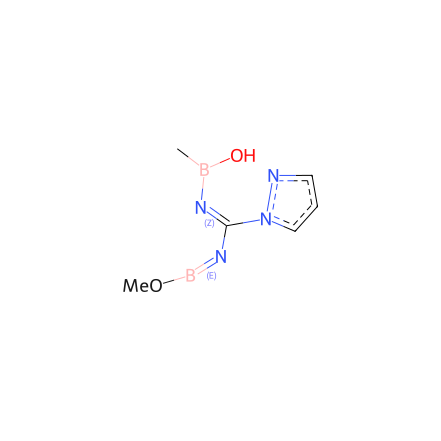 CO/B=N/C(=N/B(C)O)n1cccn1